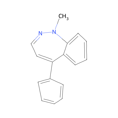 CN1N=CC=C(c2ccccc2)c2ccccc21